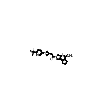 Cc1nc2c(c3c1CCC3)CN(C(=O)CC1CN(c3ccc(C(F)(F)F)nc3)C1)C2